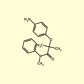 CN(C(=O)C(C)(C)Oc1ccc(N)cc1)c1ccccc1